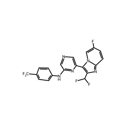 Fc1ccc2nc(C(F)F)c(-c3cncc(Nc4ccc(C(F)(F)F)cc4)n3)n2c1